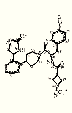 O=C1NCC(c2ccccc2C2CCN(C(=O)[C@@H](Cc3ccc(Cl)cc3)NC(=O)C3CN(C(=O)O)C3)CC2)N1